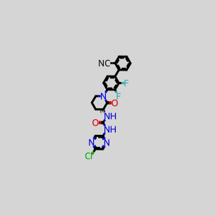 N#Cc1ccccc1-c1ccc(N2CCC[C@@H](NC(=O)Nc3cnc(Cl)cn3)C2=O)c(F)c1F